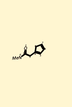 CNC(=O)CC1=CC=CC1